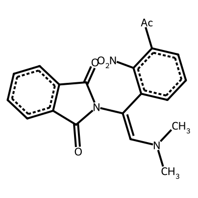 CC(=O)c1cccc(C(=CN(C)C)N2C(=O)c3ccccc3C2=O)c1[N+](=O)[O-]